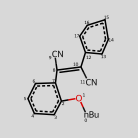 CCCCOc1ccccc1C(C#N)=C(C#N)c1ccccc1